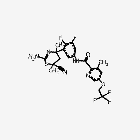 Cc1cc(OCC(F)(F)F)cnc1C(=O)Nc1cc(F)c(F)c([C@]2(C)C[C@](C)(C#N)SC(N)=N2)c1